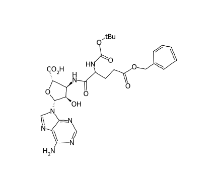 CC(C)(C)OC(=O)NC(CCC(=O)OCc1ccccc1)C(=O)N[C@H]1[C@@H](O)[C@H](n2cnc3c(N)ncnc32)O[C@@H]1C(=O)O